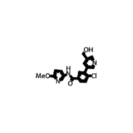 COc1ccc(NC(=O)c2ccc(Cl)c(-c3cncc(CO)c3)c2)cn1